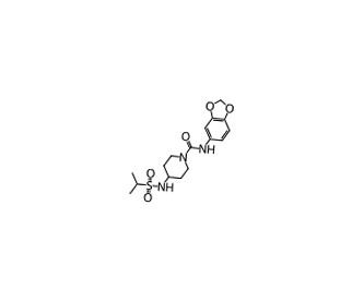 CC(C)S(=O)(=O)NC1CCN(C(=O)Nc2ccc3c(c2)OCO3)CC1